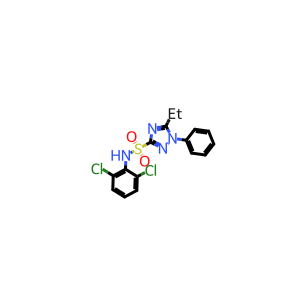 CCc1nc(S(=O)(=O)Nc2c(Cl)cccc2Cl)nn1-c1ccccc1